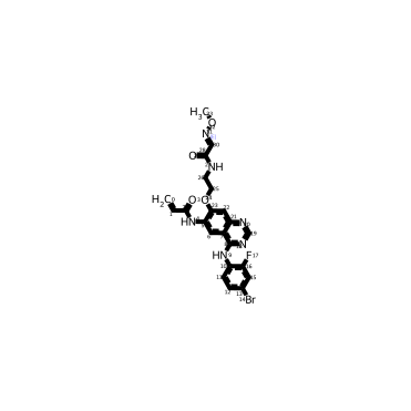 C=CC(=O)Nc1cc2c(Nc3ccc(Br)cc3F)ncnc2cc1OCCNC(=O)/C=N/OC